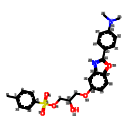 Cc1ccc(S(=O)(=O)OC[C@H](O)COc2ccc3oc(-c4ccc(N(C)C)cc4)nc3c2)cc1